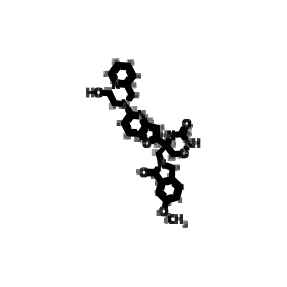 COc1ccc2c(c1)C(=O)N(C[C@]1(c3cc4nc(N(CCO)Cc5ccccn5)ccc4o3)CONC(=O)N1)C2